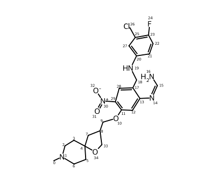 CN1CCC2(CC1)CC(COc1cc(/N=C\N)c(CNc3ccc(F)c(Cl)c3)cc1[N+](=O)[O-])CO2